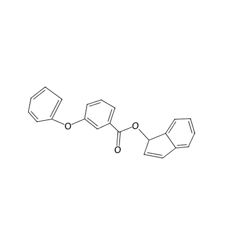 O=C(OC1C=Cc2ccccc21)c1cccc(Oc2ccccc2)c1